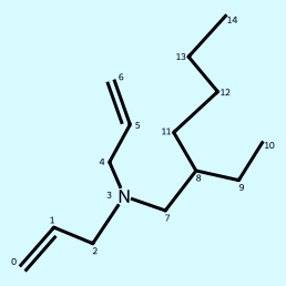 C=CCN(CC=C)CC(CC)CCCC